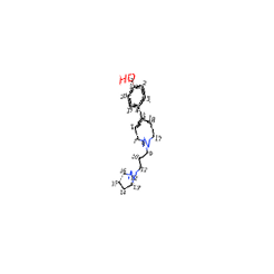 Oc1ccc(C2=CCN(CCCN3CCCC3)CC2)cc1